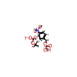 CC(C)(C)OC(=O)O.O=C(O)OCc1ccc([N+](=O)[O-])cc1